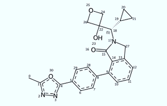 Cc1nnc(-c2ccc(-c3cccc4c3C(=O)N([C@@H](C3CC3)C3(O)COC3)C4)cc2)o1